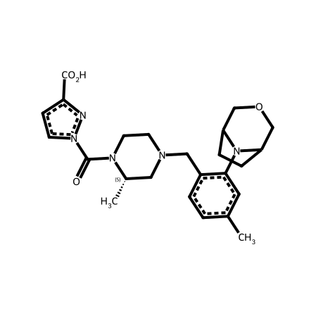 Cc1ccc(CN2CCN(C(=O)n3ccc(C(=O)O)n3)[C@@H](C)C2)c(N2C3CCC2COC3)c1